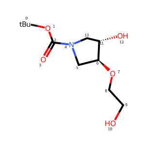 CC(C)(C)OC(=O)N1C[C@H](OCCO)[C@@H](O)C1